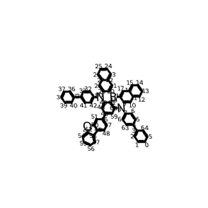 c1ccc(-c2ccc(N3c4cc5ccccc5cc4B4c5cc6ccccc6cc5N(c5ccc(-c6ccccc6)cc5)c5cc(-c6ccc7c(c6)oc6ccccc67)cc3c54)cc2)cc1